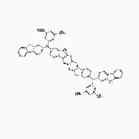 CC(C)(C)c1cc(C(c2ccc3c(c2)Cc2cc4cc5c(cc4cc2-3)oc2cc(N(c3cc(C(C)(C)C)cc(C(C)(C)C)c3)c3ccc4c(c3)Cc3ccccc3-4)ccc25)c2ccc3c(c2)oc2ccccc23)cc(C(C)(C)C)c1